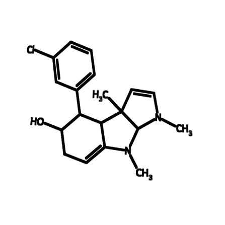 CN1C=CC2(C)C3C(=CCC(O)C3c3cccc(Cl)c3)N(C)C12